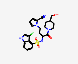 N#Cc1cccn1CCC(NS(=O)(=O)c1cccc2[nH]cc(Cl)c12)C(=O)N1CCC(CO)CC1